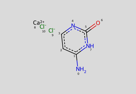 Nc1ccnc(=O)[nH]1.[Ca+2].[Cl-].[Cl-]